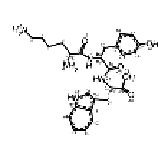 NCCCC[C@H](N)C(=O)N[C@@H](Cc1ccc(O)cc1)C(=O)N[C@@H](Cc1c[nH]c2ccccc12)C(=O)O